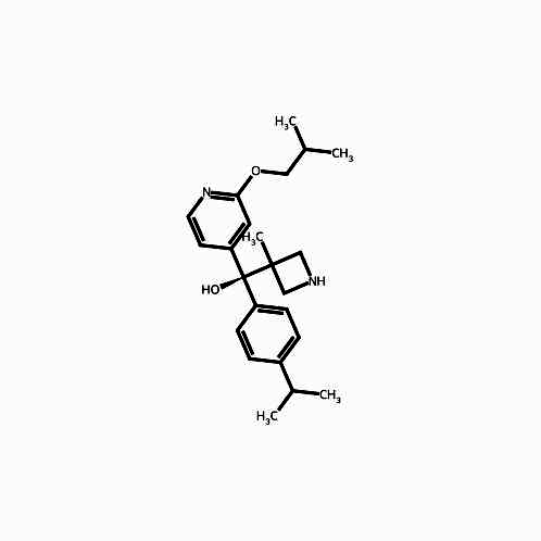 CC(C)COc1cc([C@@](O)(c2ccc(C(C)C)cc2)C2(C)CNC2)ccn1